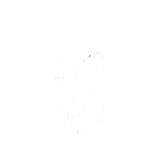 CC(=O)[C@H]1CCC2C3CC[C@@]4(N)CCCC[C@]4(C)C3CC(=O)[C@@]21C